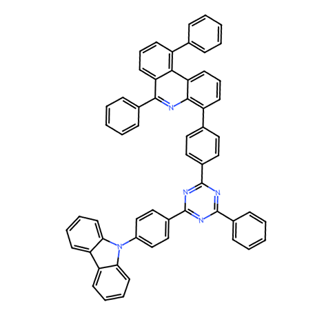 c1ccc(-c2nc(-c3ccc(-c4cccc5c4nc(-c4ccccc4)c4cccc(-c6ccccc6)c45)cc3)nc(-c3ccc(-n4c5ccccc5c5ccccc54)cc3)n2)cc1